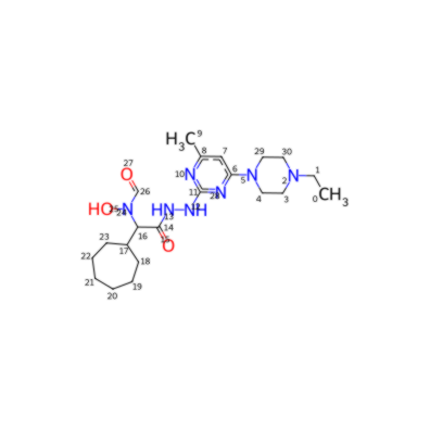 CCN1CCN(c2cc(C)nc(NNC(=O)C(C3CCCCCC3)N(O)C=O)n2)CC1